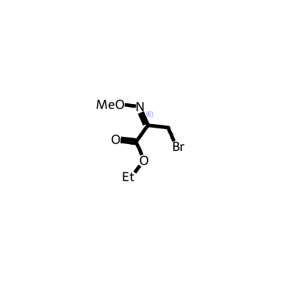 CCOC(=O)/C(CBr)=N\OC